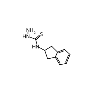 NNC(=S)NC1Cc2ccccc2C1